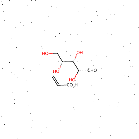 C=CC(=O)O.O=C[C@H](O)[C@@H](O)[C@H](O)CO